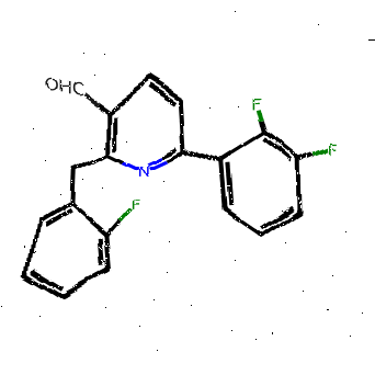 O=Cc1ccc(-c2cccc(F)c2F)nc1Cc1ccccc1F